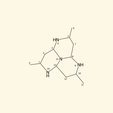 CC1CC2NC(C)CC3NC(C)CC(N1)N32